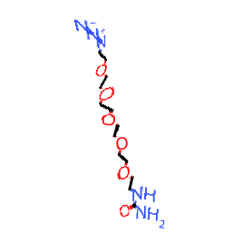 [N-]=[N+]=NCCOCCOCCOCCOCCOCCNC(N)=O